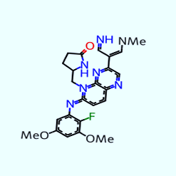 CN/C=C(\C=N)c1cnc2cc/c(=N\c3cc(OC)cc(OC)c3F)n(CC3CCC(=O)N3)c2n1